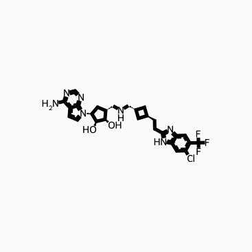 Nc1ncnc2c1ccn2[C@@H]1C[C@H](CNC[C@H]2C[C@H](CCc3nc4cc(C(F)(F)F)c(Cl)cc4[nH]3)C2)[C@@H](O)[C@H]1O